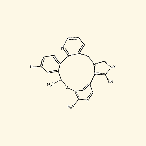 CC1Oc2cc(cnc2N)C2=C(C#N)NCN2Cc2cccnc2-c2ccc(F)cc21